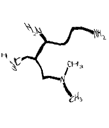 CC(CN(C)C)C(N)CCN